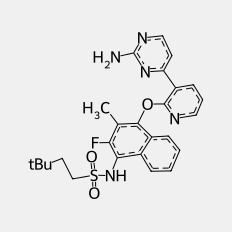 Cc1c(F)c(NS(=O)(=O)CCC(C)(C)C)c2ccccc2c1Oc1ncccc1-c1ccnc(N)n1